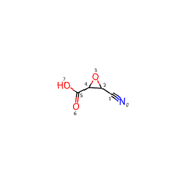 N#CC1OC1C(=O)O